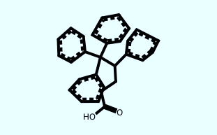 O=C(O)CCC(c1ccccc1)C(c1ccccc1)(c1ccccc1)c1ccccc1